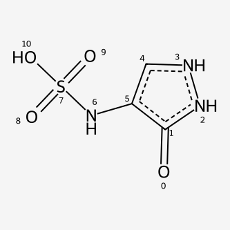 O=c1[nH][nH]cc1NS(=O)(=O)O